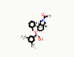 Cc1ccccc1[C@H]1[C@@H]2CN(C(=O)C(C)C)C[C@H]2CC[C@@H]1O[C@H](CO)c1cc(C(F)(F)F)cc(C(F)(F)F)c1